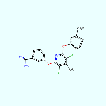 Cc1c(F)c(Oc2cccc(C(=N)N)c2)nc(Oc2cccc(C(=O)O)c2)c1F